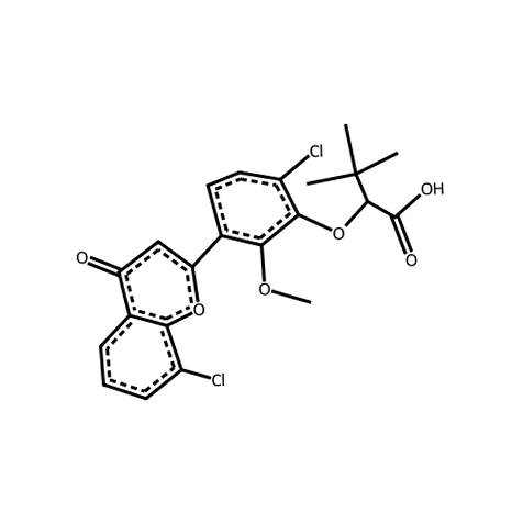 COc1c(-c2cc(=O)c3cccc(Cl)c3o2)ccc(Cl)c1OC(C(=O)O)C(C)(C)C